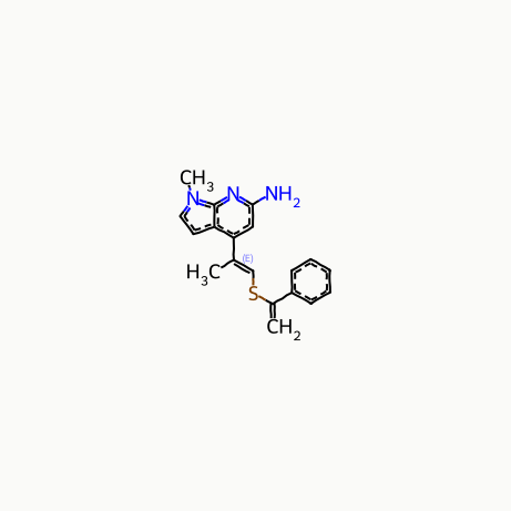 C=C(S/C=C(\C)c1cc(N)nc2c1ccn2C)c1ccccc1